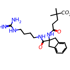 CC(C)(CCC(=O)NC1(C(=O)NCCCCNC(=N)N)Cc2ccccc2C1)C(=O)O